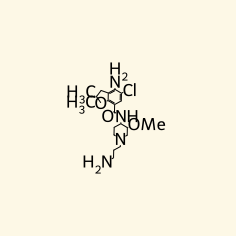 COC1CN(CCCN)CCC1NC(=O)c1cc(Cl)c(N)c2c1OC(C)(C)C2